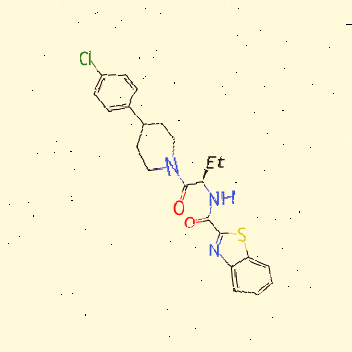 CC[C@@H](NC(=O)c1nc2ccccc2s1)C(=O)N1CCC(c2ccc(Cl)cc2)CC1